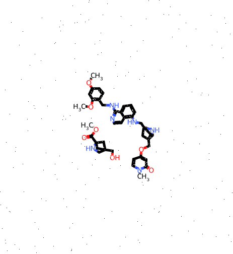 COC(=O)C12CC(CO)(CN1)C2.COc1ccc(CNc2nccc3c(NCC45CC(COc6ccn(C)c(=O)c6)(CN4)C5)cccc23)c(OC)c1